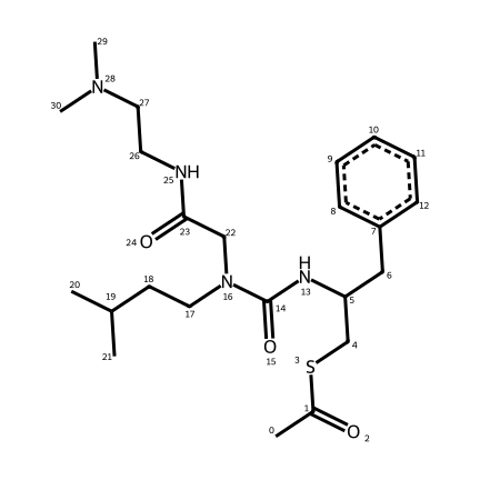 CC(=O)SCC(Cc1ccccc1)NC(=O)N(CCC(C)C)CC(=O)NCCN(C)C